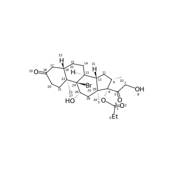 CCC(=O)O[C@@]1(C(=O)CO)[C@@H](C)C[C@H]2[C@@H]3CC[C@H]4CC(=O)CC[C@]4(C)[C@@]3(Br)[C@@H](O)C[C@@]21C